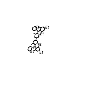 CCc1cc(CC)c(N(c2ccccc2)c2ccc(-c3ccc(N(c4ccccc4)c4c(CC)cc(CC)cc4CC)c(C)c3)cc2C)c(CC)c1